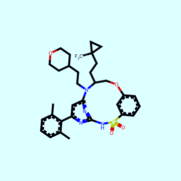 Cc1cccc(C)c1-c1cc2nc(n1)NS(=O)(=O)c1cccc(c1)OCC(CCC1(C(F)(F)F)CC1)N2CCC1CCOCC1